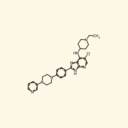 CCN1CCC(Nc2c(Cl)cnc3[nH]c(-c4ccc(N5CCN(c6cccnc6)CC5)cc4)nc23)CC1